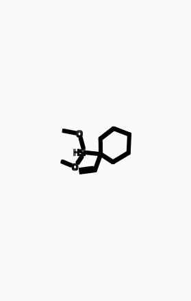 C=CC1([SiH](OC)OC)CCCCC1